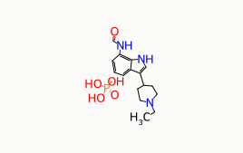 CCN1CCC(c2c[nH]c3c(NC=O)cccc23)CC1.O=P(O)(O)O